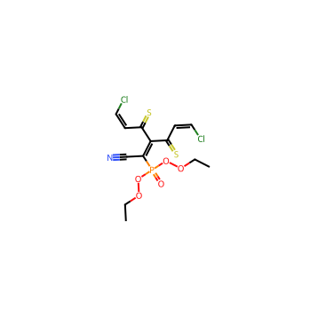 CCOOP(=O)(OOCC)C(C#N)=C(C(=S)/C=C\Cl)C(=S)/C=C\Cl